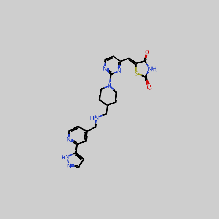 O=C1NC(=O)C(=Cc2ccnc(N3CCC(CNCc4ccnc(-c5ccn[nH]5)c4)CC3)n2)S1